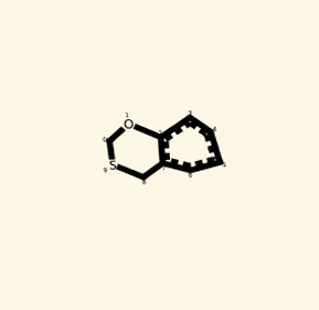 [CH]1Oc2ccccc2CS1